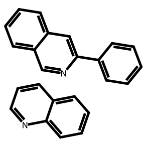 c1ccc(-c2cc3ccccc3cn2)cc1.c1ccc2ncccc2c1